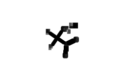 O=[SH](=O)C(F)(F)C(F)(F)F.[LiH]